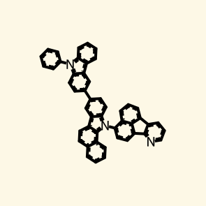 c1ccc(-n2c3ccccc3c3cc(-c4ccc5c(c4)c4ccc6ccccc6c4n5-c4ccc5c6c(cccc46)-c4cccnc4-5)ccc32)cc1